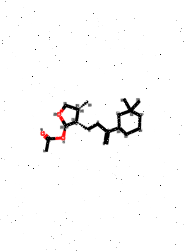 C=C(CC[C@@H]1[C@@H](OC(C)=O)OC[C@@H]1C)C1CCCC(C)(C)C1